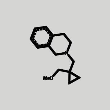 COCC1(CN2CCc3ccccc3C2)CC1